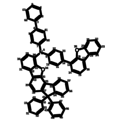 c1ccc(-c2ccc(N(c3ccc(-c4cccc5c4oc4ccccc45)cc3)c3cccc4c3oc3c5c(ccc34)C(c3ccccc3)(c3ccccc3)c3ccccc3-5)cc2)cc1